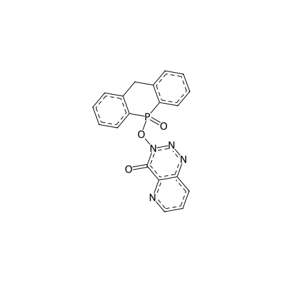 O=c1c2ncccc2nnn1OP1(=O)c2ccccc2Cc2ccccc21